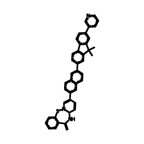 C=C1NC2C=CC(c3ccc4cc(-c5ccc6c(c5)C(C)(C)c5cc(-c7cccnc7)ccc5-6)ccc4c3)=CN2Sc2ccccc21